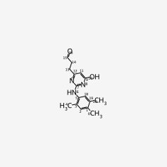 Cc1cc(C)c(Nc2nc(O)cc(CCC=O)n2)cc1C